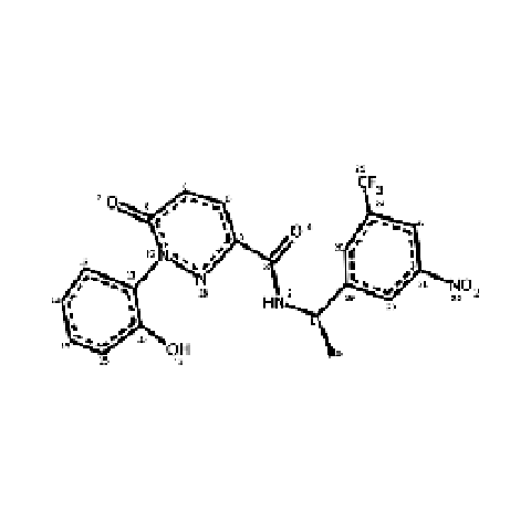 C[C@@H](NC(=O)c1ccc(=O)n(-c2ccccc2O)n1)c1cc([N+](=O)[O-])cc(C(F)(F)F)c1